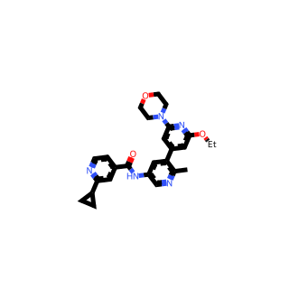 CCOc1cc(-c2cc(NC(=O)c3ccnc(C4CC4)c3)cnc2C)cc(N2CCOCC2)n1